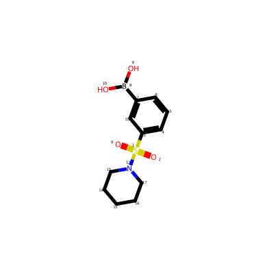 O=S(=O)(c1cccc(B(O)O)c1)N1CCCCC1